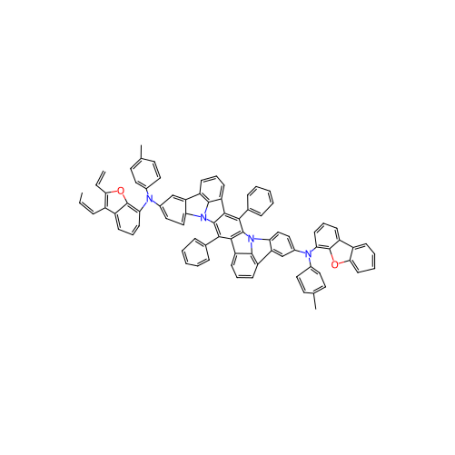 C=Cc1oc2c(N(c3ccc(C)cc3)c3ccc4c(c3)c3cccc5c6c(-c7ccccc7)c7c(c(-c8ccccc8)c6n4c35)c3cccc4c5cc(N(c6ccc(C)cc6)c6cccc8c6oc6ccccc68)ccc5n7c43)cccc2c1/C=C\C